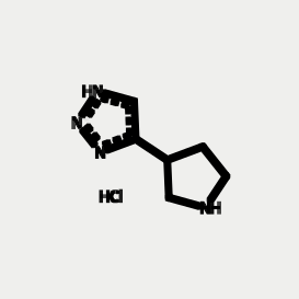 Cl.c1[nH]nnc1C1CCNC1